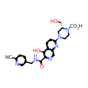 N#Cc1ccc(CNC(=O)c2ncc3nc(N4CCN(C(=O)O)[C@@H](CO)C4)ccc3c2O)cn1